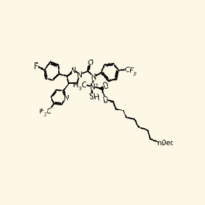 CCCCCCCCCCCCCCCCCCOC(=O)[N+](C)(S)N(C(=O)N1CC(c2ccc(C(F)(F)F)cn2)C(c2ccc(F)cc2)=N1)c1ccc(C(F)(F)F)cc1